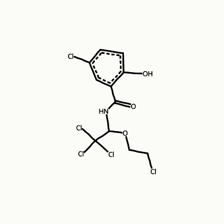 O=C(NC(OCCCl)C(Cl)(Cl)Cl)c1cc(Cl)ccc1O